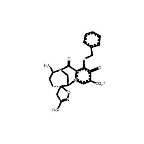 CC1=NO[C@@]2(CCC(C)N3CC2n2cc(C(=O)O)c(=O)c(OCc4ccccc4)c2C3=O)C1